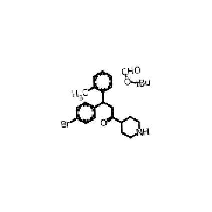 CC(C)(C)OC=O.Cc1ccccc1C(CC(=O)C1CCNCC1)c1ccc(Br)cc1